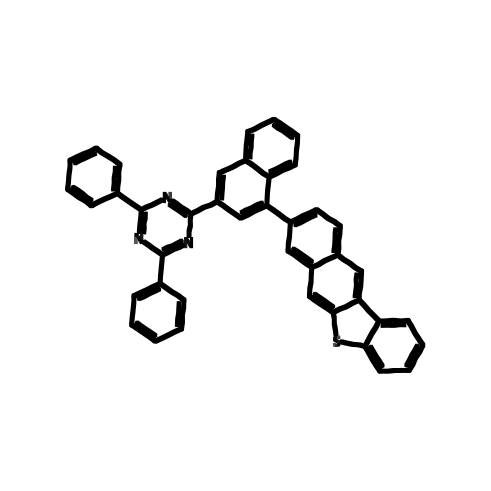 c1ccc(-c2nc(-c3ccccc3)nc(-c3cc(-c4ccc5cc6c(cc5c4)sc4ccccc46)c4ccccc4c3)n2)cc1